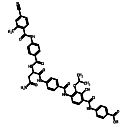 Cc1cc(C#N)ccc1C(=O)Nc1ccc(C(=O)NC(CC(N)=O)C(=O)Nc2ccc(C(=O)Nc3ccc(C(=O)Nc4ccc(C(=O)O)cc4)c(O)c3OC(C)C)cc2)cc1